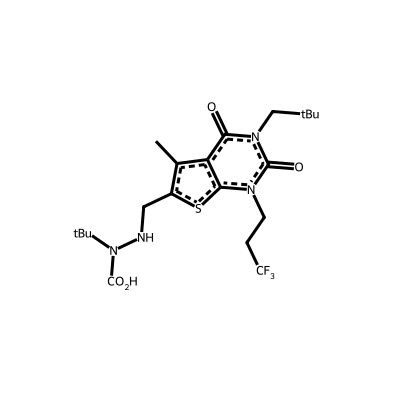 Cc1c(CNN(C(=O)O)C(C)(C)C)sc2c1c(=O)n(CC(C)(C)C)c(=O)n2CCC(F)(F)F